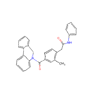 Cc1cc(C(=O)N2Cc3ccccc3-c3ccccc32)ccc1CC(=O)Nc1ccccc1